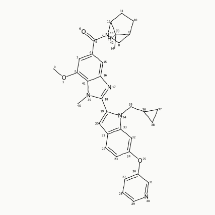 COc1cc(C(=O)N2CC3CCC2[C@@H]3C)cc2nc(-c3cc4ccc(Oc5cccnc5)cc4n3CC3CC3)n(C)c12